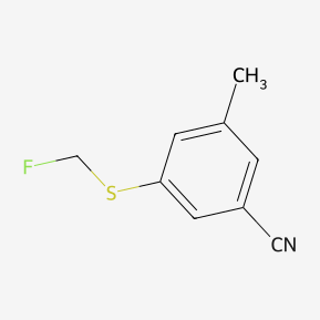 Cc1cc(C#N)cc(SCF)c1